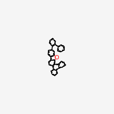 c1ccc(-c2ccccc2-c2ccc3c(c2)oc2c3ccc3c4ccccc4c4ccccc4c32)cc1